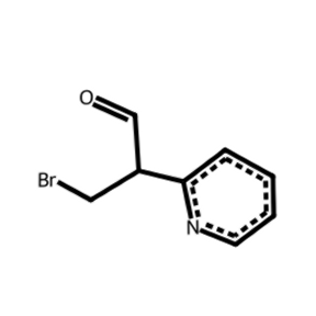 O=CC(CBr)c1ccccn1